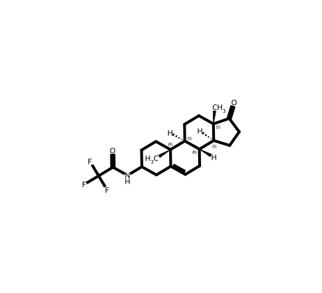 C[C@]12CCC(NC(=O)C(F)(F)F)CC1=CC[C@@H]1[C@@H]2CC[C@]2(C)C(=O)CC[C@@H]12